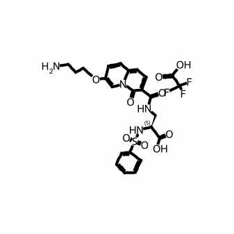 NCCCOc1ccc2ccc(C(=O)NC[C@H](NS(=O)(=O)c3ccccc3)C(=O)O)c(=O)n2c1.O=C(O)C(F)(F)F